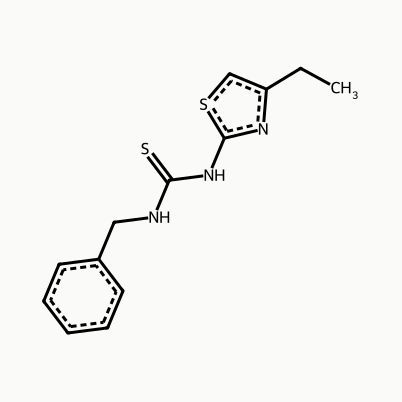 CCc1csc(NC(=S)NCc2ccccc2)n1